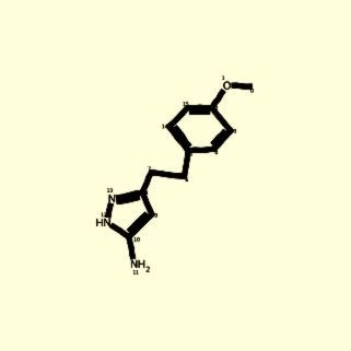 COc1ccc(CCc2cc(N)[nH]n2)cc1